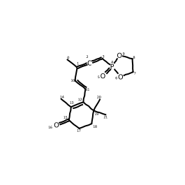 CC(=C=CP1(=O)OCCO1)C=CC1=C(C)C(=O)CCC1(C)C